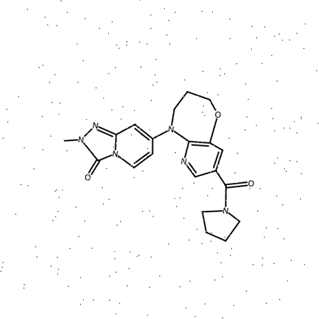 Cn1nc2cc(N3CCCOc4cc(C(=O)N5CCCC5)cnc43)ccn2c1=O